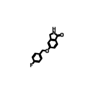 O=C1NCc2cc(OCc3ccc(F)cc3)ccc21